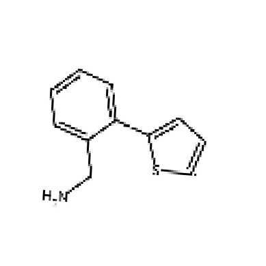 NCc1ccccc1-c1cc[c]s1